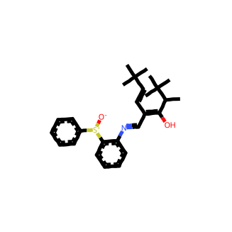 CC(/C(O)=C(\C=C\C(C)(C)C)/C=N/c1ccccc1[S+]([O-])c1ccccc1)C(C)(C)C